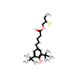 CCC(S)COC(=O)CCCCc1cc(C(C)(C)C)c(O)c(C(C)(C)C)c1